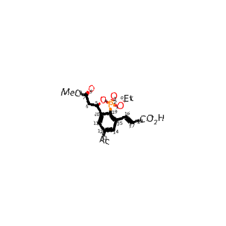 CCOP1(=O)OC(CC(=O)OC)c2cc(C(C)=O)cc(C=CC(=O)O)c21